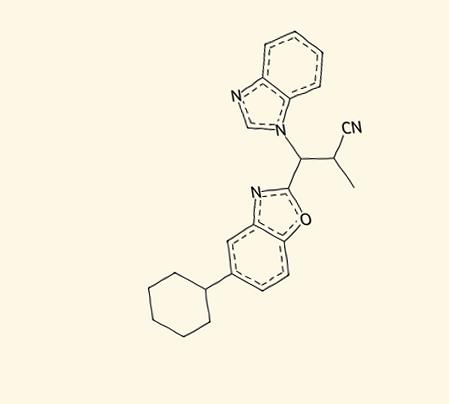 CC(C#N)C(c1nc2cc(C3CCCCC3)ccc2o1)n1cnc2ccccc21